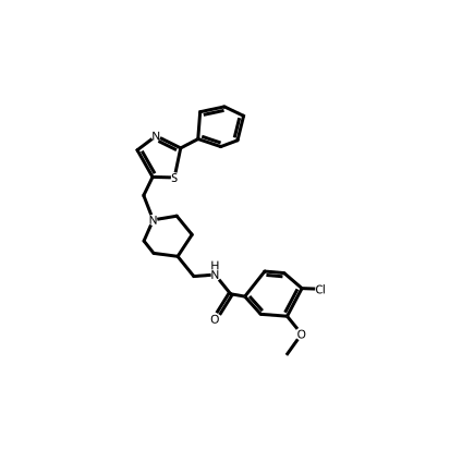 COc1cc(C(=O)NCC2CCN(Cc3cnc(-c4ccccc4)s3)CC2)ccc1Cl